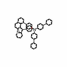 c1ccc(-c2ccc(N(c3ccc(-c4ccccc4)cc3)c3ccc(-c4cccc5ccc6c(c(-c7ccccc7)c7ccccn76)c45)cc3)cc2)cc1